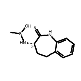 CB(O)N[C@H]1CCc2ccccc2NC1=S